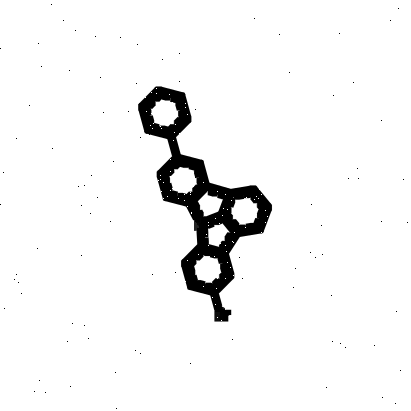 Brc1ccc2c(c1)c1cccc3c4cc(-c5ccccc5)ccc4n2c13